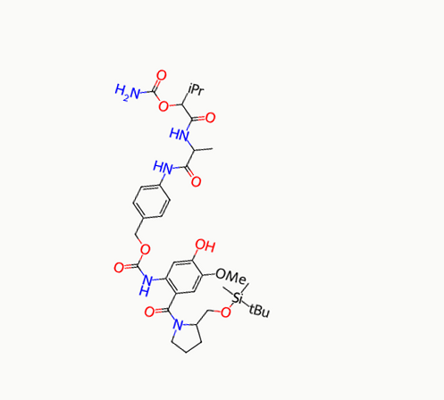 COc1cc(C(=O)N2CCCC2CO[Si](C)(C)C(C)(C)C)c(NC(=O)OCc2ccc(NC(=O)C(C)NC(=O)C(OC(N)=O)C(C)C)cc2)cc1O